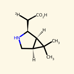 [2H]C(C(=O)O)[C@@H]1NC[C@H]2[C@@H]1C2(C)C